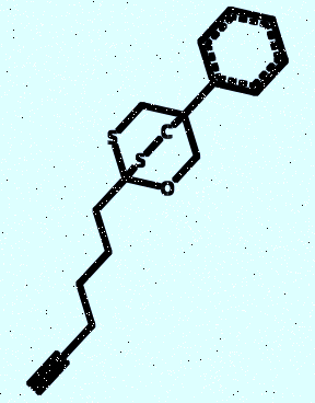 C#CCCCCC12OCC(c3ccccc3)(CS1)CS2